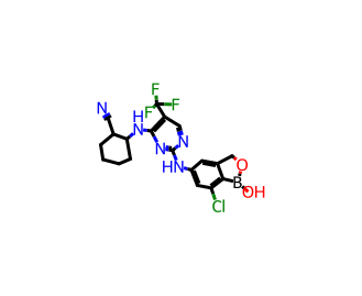 N#CC1CCCCC1Nc1nc(Nc2cc(Cl)c3c(c2)COB3O)ncc1C(F)(F)F